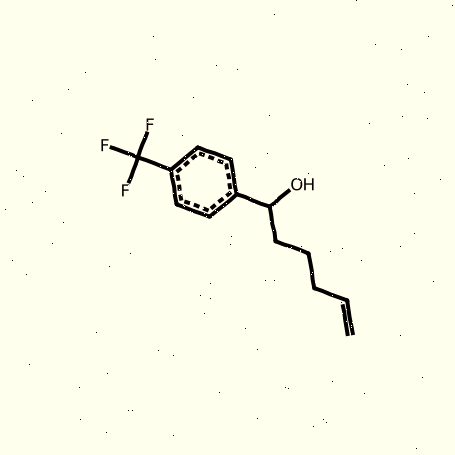 C=CCCCC(O)c1ccc(C(F)(F)F)cc1